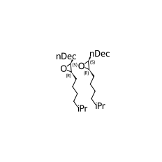 CCCCCCCCCC[C@@H]1O[C@@H]1CCCCC(C)C.CCCCCCCCCC[C@@H]1O[C@@H]1CCCCC(C)C